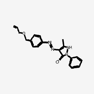 C=CCOCc1ccc(/N=N/c2c(C)[nH]n(-c3ccccc3)c2=O)cc1